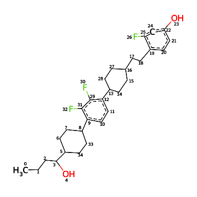 CCCC(O)C1CCC(c2ccc(C3CCC(CCc4ccc(O)cc4F)CC3)c(F)c2F)CC1